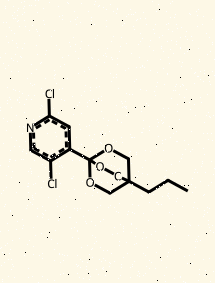 CCCC12COC(c3cc(Cl)ncc3Cl)(OC1)OC2